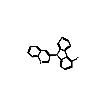 Clc1cccc2c1c1ccccc1n2-c1cnc2ccccc2c1